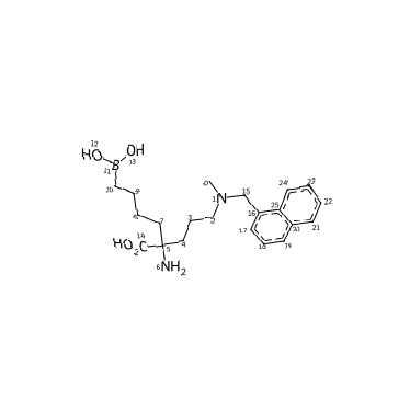 CN(CCCC(N)(CCCCB(O)O)C(=O)O)Cc1cccc2ccccc12